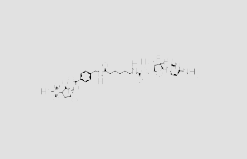 Nc1ccn([C@@H]2O[C@H](COC(=O)NCCCCCC(=O)NCc3ccc(C(=O)ON4C(=O)CC(S(=O)(=O)O)C4=O)cc3)C(O)C2(F)F)c(=O)n1